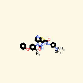 Cc1cc(Oc2ccccc2)ccc1N1C(=O)Nc2c(C(=O)N[C@H]3CC[C@@H](N(C)C)C3)sc3nccc1c23